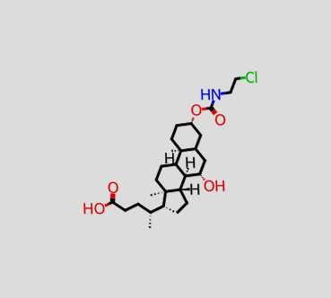 C[C@H](CCC(=O)O)[C@H]1CC[C@H]2[C@@H]3[C@@H](O)CC4C[C@@H](OC(=O)NCCCl)CC[C@]4(C)[C@H]3CC[C@]12C